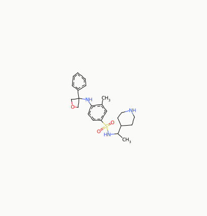 Cc1cc(S(=O)(=O)NC(C)C2CCNCC2)ccc1NC1(c2ccccc2)COC1